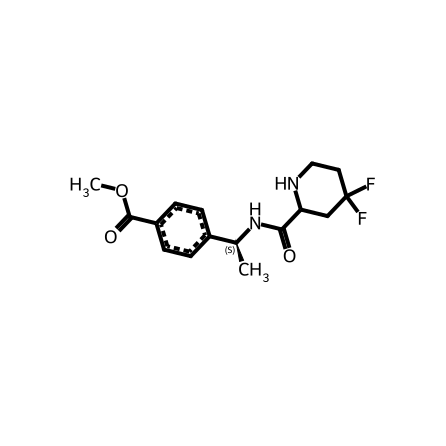 COC(=O)c1ccc([C@H](C)NC(=O)C2CC(F)(F)CCN2)cc1